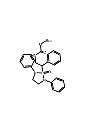 CC(C)(C)OC(=O)NCC(c1ccccc1)P1(=O)N(c2ccccc2)CCN1c1ccccc1